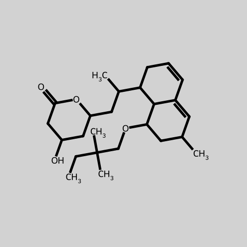 CCC(C)(C)COC1CC(C)C=C2C=CCC(C(C)CC3CC(O)CC(=O)O3)C21